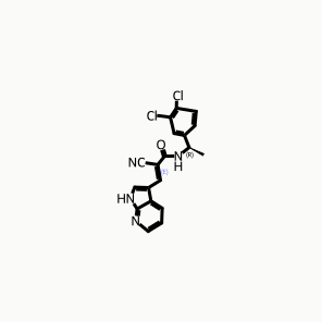 C[C@@H](NC(=O)/C(C#N)=C/c1c[nH]c2ncccc12)c1ccc(Cl)c(Cl)c1